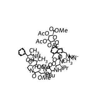 CC[C@H](C)[C@@H]([C@@H](CC(=O)N1CCC[C@H]1[C@H](OC)[C@@H](C)C(=O)N[C@H](C)[C@@H](O)c1ccccc1)OC)N(C)C(=O)[C@@H](NC(=O)[C@H](C(C)C)N(C)C(=O)OCc1ccc(O[C@@H]2O[C@H](C(=O)OC)[C@@H](OC(C)=O)[C@H](OC(C)=O)[C@H]2OC(C)=O)c2cc(CN=[N+]=[N-])sc12)C(C)C